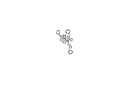 O=C(NC(=O)N(C(=O)OCc1ccccc1)[C@H]1C[C@H](OCc2ccccc2)C1)OCc1ccccc1